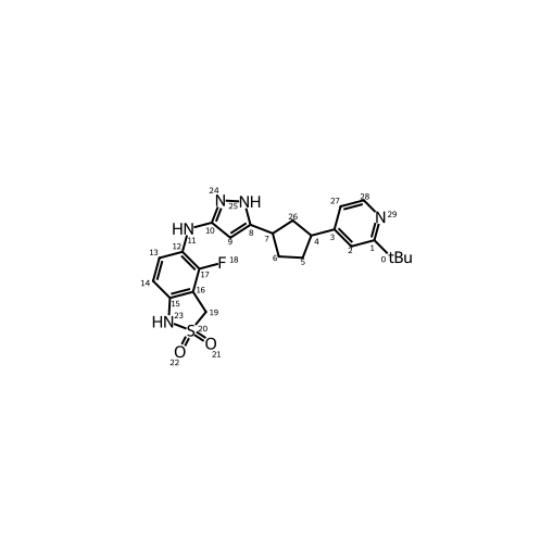 CC(C)(C)c1cc(C2CCC(c3cc(Nc4ccc5c(c4F)CS(=O)(=O)N5)n[nH]3)C2)ccn1